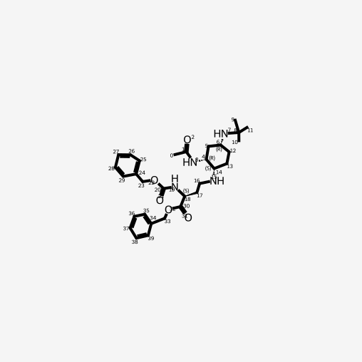 CC(=O)N[C@@H]1C[C@H](NC(C)(C)C)CC[C@@H]1NCC[C@H](NC(=O)OCc1ccccc1)C(=O)OCc1ccccc1